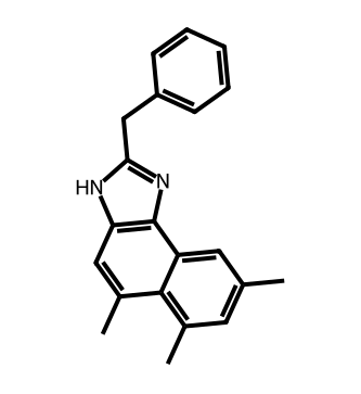 Cc1cc(C)c2c(C)cc3[nH]c(Cc4ccccc4)nc3c2c1